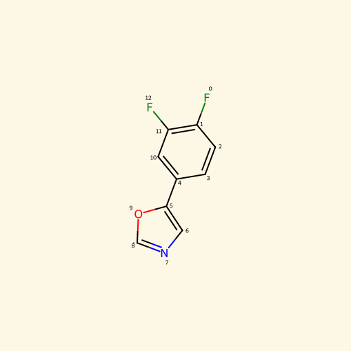 Fc1ccc(-c2cn[c]o2)cc1F